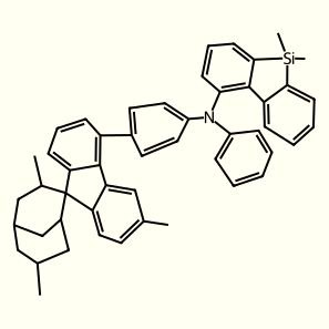 Cc1ccc2c(c1)-c1c(-c3ccc(N(c4ccccc4)c4cccc5c4-c4ccccc4[Si]5(C)C)cc3)cccc1C21C(C)CC2CC(C)CC1C2